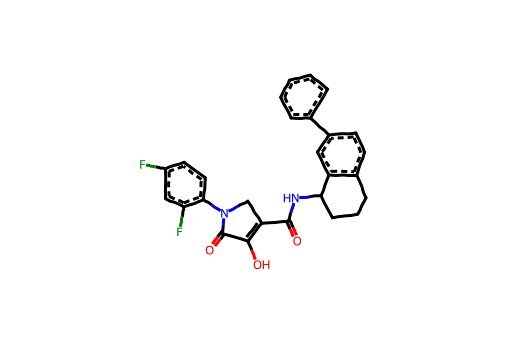 O=C(NC1CCCc2ccc(-c3ccccc3)cc21)C1=C(O)C(=O)N(c2ccc(F)cc2F)C1